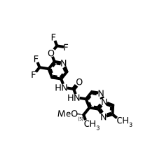 CO[C@@H](C)c1c(NC(=O)Nc2cnc(OC(F)F)c(C(F)F)c2)cnn2cc(C)nc12